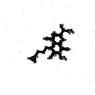 CC(F)c1nc2c(=O)n(C)c(=O)n(CCCC3CC3)c2c(=O)[nH]1